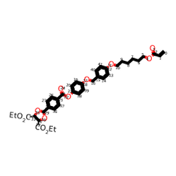 C=CC(=O)OCCCCCCOc1ccc(COc2ccc(OC(=O)c3ccc(C4O[C@@H](C(=O)OCC)[C@H](C(=O)OCC)O4)cc3)cc2)cc1